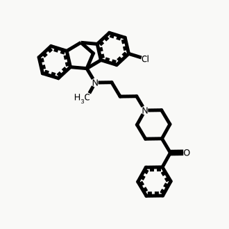 CN(CCCN1CCC(C(=O)c2ccccc2)CC1)C12CC(c3ccccc31)c1ccc(Cl)cc12